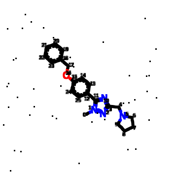 Cn1nc(CN2CCCC2)nc1-c1ccc(OCc2ccccc2)cc1